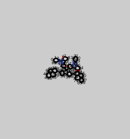 c1ccc(-n2c3ccccc3c3cc(C4(c5ccc6c(c5)c5ccccc5n6-c5ccccc5)c5cc(-c6ccc7ccc8cccc9ccc6c7c89)ccc5-c5ccc(-c6ccc7ccc8cccc9ccc6c7c89)cc54)ccc32)cc1